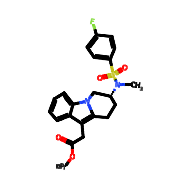 CCCOC(=O)Cc1c2n(c3ccccc13)C[C@H](N(C)S(=O)(=O)c1ccc(F)cc1)CC2